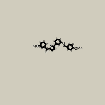 COc1ccc(COc2cccc(-c3ccc(C(=O)c4cccc(O)c4)s3)c2)cc1